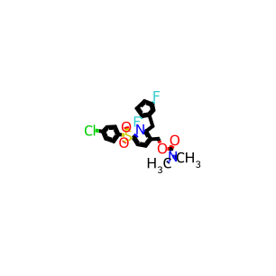 CN(C)C(=O)OCc1ccc(S(=O)(=O)c2ccc(Cl)cc2)nc1Cc1cc(F)ccc1F